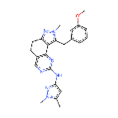 COc1cccc(Cc2c3c(nn2C)CCc2cnc(Nc4cc(C)n(C)n4)nc2-3)c1